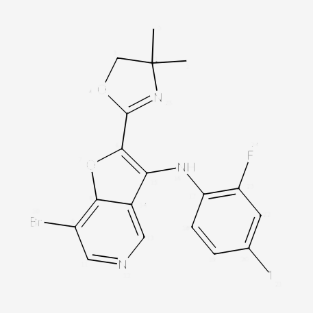 CC1(C)COC(c2oc3c(Br)cncc3c2Nc2ccc(I)cc2F)=N1